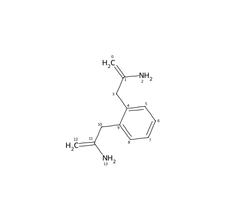 C=C(N)Cc1ccccc1CC(=C)N